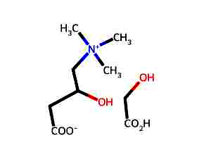 C[N+](C)(C)CC(O)CC(=O)[O-].O=C(O)CO